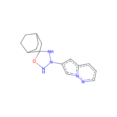 c1cnn2cc(N3NOC4(CC5CCC4CC5)N3)cc2c1